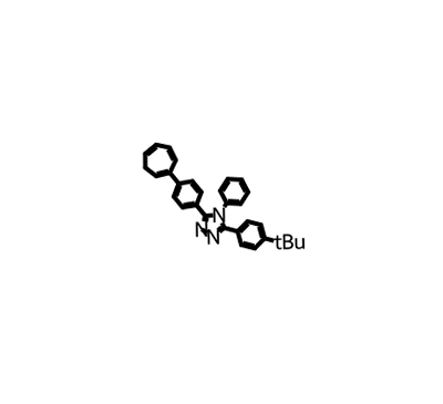 CC(C)(C)c1ccc(-c2nnc(-c3ccc(C4=CCC=CC=C4)cc3)n2-c2ccccc2)cc1